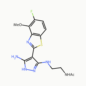 COc1c(F)ccc2sc(-c3c(NCCNC(C)=O)n[nH]c3N)nc12